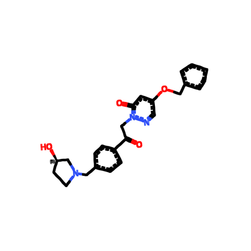 O=C(Cn1ncc(OCc2ccccc2)cc1=O)c1ccc(CN2CC[C@@H](O)C2)cc1